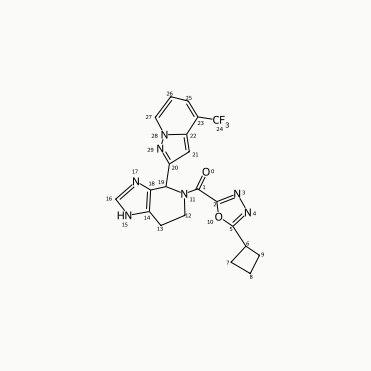 O=C(c1nnc(C2CCC2)o1)N1CCc2[nH]cnc2C1c1cc2c(C(F)(F)F)cccn2n1